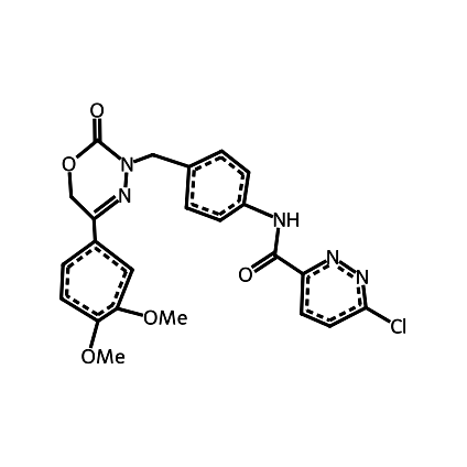 COc1ccc(C2=NN(Cc3ccc(NC(=O)c4ccc(Cl)nn4)cc3)C(=O)OC2)cc1OC